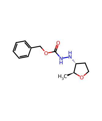 C[C@@H]1OCC[C@H]1NNC(=O)OCc1ccccc1